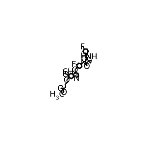 COC(=O)CCCOc1cc2nccc(Oc3ccc(NC(=O)C4(C(=O)Nc5ccc(F)cc5)CC4)cc3F)c2cc1OC